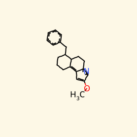 COC1=CC2=C3CCCC(Cc4ccccc4)C3CCC23C=NC=C13